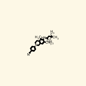 Cc1cc2c(c(C)c1NC(=O)CC(C)(C)C)CCN(c1ccc(C#N)cc1)C2